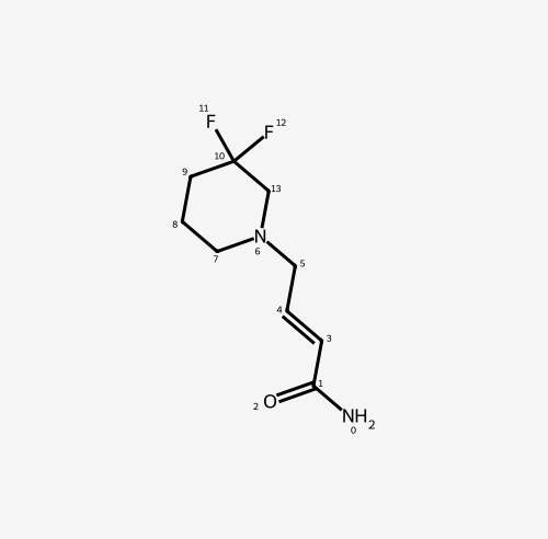 NC(=O)C=CCN1CCCC(F)(F)C1